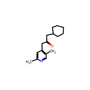 Cc1cc(CC(=O)CC2CCCCC2)c(C)cn1